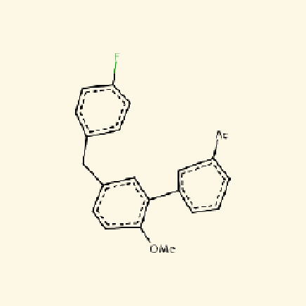 COc1ccc(Cc2ccc(F)cc2)cc1-c1cccc(C(C)=O)c1